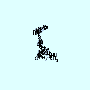 CN(C)C(=N)c1ccc(C(=O)Nc2ccc(OCC(=O)NCCCCCCNC(=N)OC(=O)OCc3ccccc3)cc2C(O)Nc2ccc(Cl)cn2)cc1